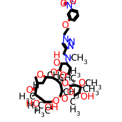 CC[C@H]1OC(=O)[C@H](C)[C@@H](O[C@H]2C[C@@](C)(OC)[C@@H](O)[C@H](C)O2)[C@H](C)[C@@H](O[C@@H]2O[C@H](C)C[C@H](N(C)Cc3cn(CCOc4cccc([N+](=O)[O-])c4)nn3)[C@H]2O)[C@@]2(C)C[C@@H](CO2)C(=O)[C@H](C)[C@@H](O)[C@]1(C)O